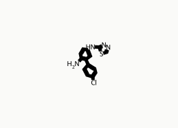 Nc1ccc(Nc2nncs2)cc1-c1ccc(Cl)cc1